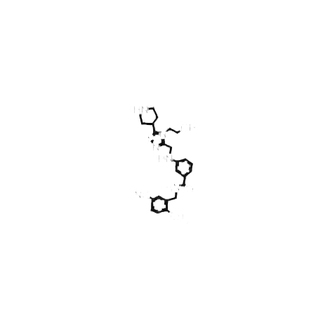 Cc1ccc(C#N)cc1CNC(=O)c1cccc(NCc2nnc(C3CCNCC3)n2CCO)c1